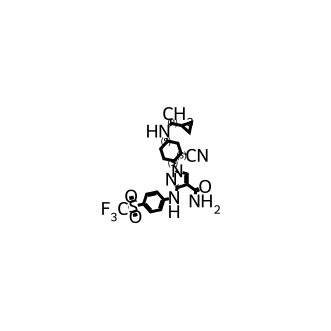 C[C@@H](N[C@H]1CC[C@H](n2cc(C(N)=O)c(Nc3ccc(S(=O)(=O)C(F)(F)F)cc3)n2)[C@@H](C#N)C1)C1CC1